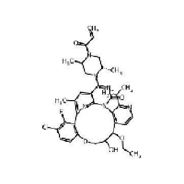 C=CC(=O)N1C[C@H](C)N(c2nc(=O)n3c4nc(c(C)cc24)-c2c(ccc(Cl)c2F)OCC(O)C(OCC)c2ccnc(C(C)C)c2-3)C[C@H]1C